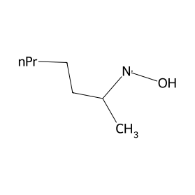 CCCCCC(C)[N]O